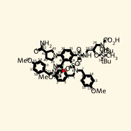 COc1ccc(CN(Cc2ccc(OC)cc2)S(=O)(=O)c2c(S(=O)(=O)NC[C@@H](CN(C(=O)O)C(C)(C)C)O[Si](C)(C)C(C)(C)C)ccc(N3CCC(C(N)=O)C3)c2-c2nnn(Cc3ccc(OC)cc3)n2)cc1